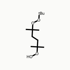 CC(C)(C)OOC(C)(C)CCC(C)(C)OO